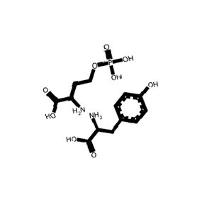 NC(CCOP(=O)(O)O)C(=O)O.NC(Cc1ccc(O)cc1)C(=O)O